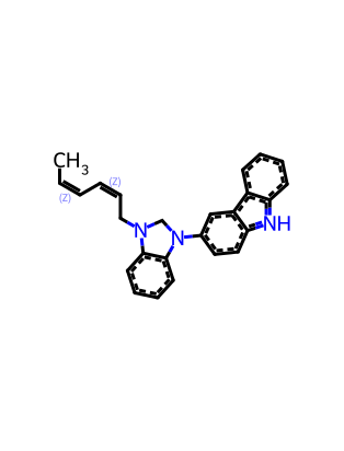 C/C=C\C=C/CN1CN(c2ccc3[nH]c4ccccc4c3c2)c2ccccc21